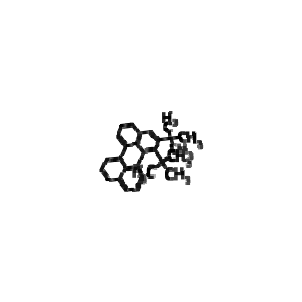 CC(C)(C)c1cc2cccc3c4cccc5cccc(c(c1C(C)(C)C)c23)c54